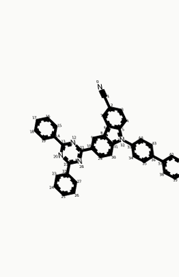 N#Cc1ccc2c(c1)c1cc(-c3nc(-c4ccccc4)nc(-c4ccccc4)n3)ccc1n2-c1ccc(-c2cccnc2)cc1